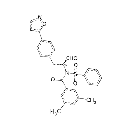 Cc1cc(C)cc(C(=O)N([C@H]([C]=O)Cc2ccc(-c3ccno3)cc2)S(=O)(=O)c2ccccc2)c1